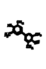 Cc1cc(-c2cc(C)c(S)c(C)c2)cc(C)c1S